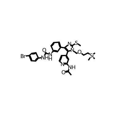 CSc1nc(-c2cccc(NC(=O)Nc3ccc(Br)cc3)c2)c(-c2ccnc(NC(C)=O)c2)n1COCC[Si](C)(C)C